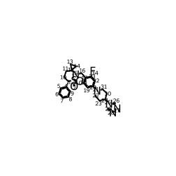 O=S1(=O)[C@@H](c2ccccc2)CCC2(CC2)N1Cc1ccc(N2CCC(n3cnnc3)CC2)cc1F